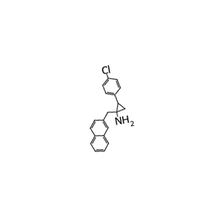 NC1(Cc2ccc3ccccc3c2)CC1c1ccc(Cl)cc1